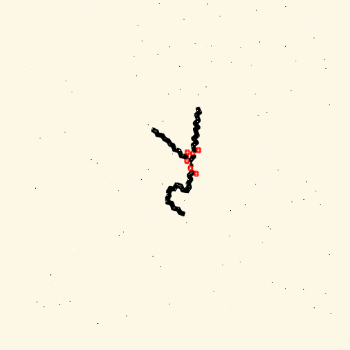 CCCCC/C=C\C/C=C\C/C=C\C/C=C\CCCC(=O)OC[C@@H](COC(=O)CCCCCCCCCCC)OC(=O)CCCCCCCCCCC